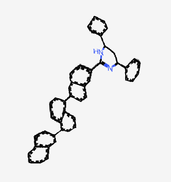 c1ccc(C2CC(c3ccccc3)NC(c3ccc4cc(-c5cccc6c(-c7ccc8ccccc8c7)cccc56)ccc4c3)=N2)cc1